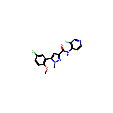 COc1ccc(Cl)cc1-c1cc(C(=O)Nc2ccncc2F)nn1C